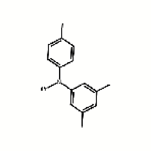 Cc1ccc(N(c2cc(C)cc(C)c2)C(C)C)cc1